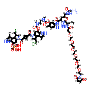 Cc1c[nH]c2c(OC(=O)N(C)CCN(C)C(=O)OCc3ccc(NC(=O)C(CCCNC(N)=O)NC(=O)C(NC(=O)CCOCCOCCOCCOCCOCCOCCN4C(=O)C=CC4=O)C(C)C)cc3)cc3c(c12)C(CCl)CN3C(=O)C12CC(C(=O)N3CC(CCl)c4c3cc(OP(=O)(O)O)c3[nH]cc(C)c43)(C1)C2